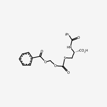 CC(C)C(=O)N[C@@H](CSC(=O)OCOC(=O)c1ccccc1)C(=O)O